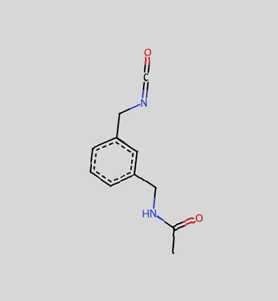 CC(=O)NCc1cccc(CN=C=O)c1